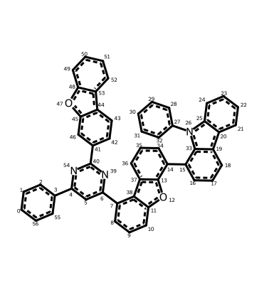 c1ccc(-c2cc(-c3cccc4oc5c(-c6cccc7c8ccccc8n(-c8ccccc8)c67)cccc5c34)nc(-c3ccc4c(c3)oc3ccccc34)n2)cc1